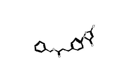 O=C(CCc1ccc(-n2sc(Cl)cc2=O)cc1)OCc1ccccc1